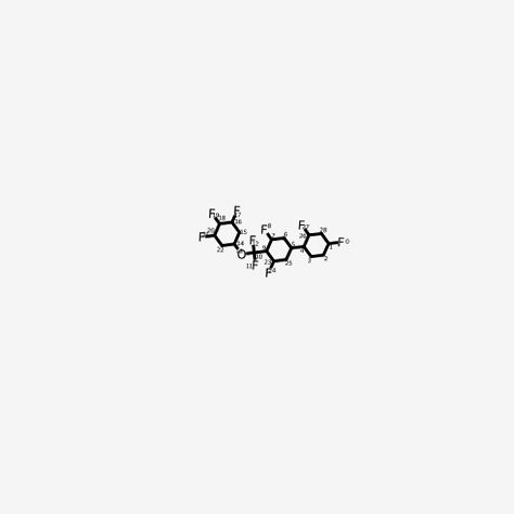 FC1CCC(C2CC(F)C(C(F)(F)OC3CC(F)C(F)C(F)C3)C(F)C2)C(F)C1